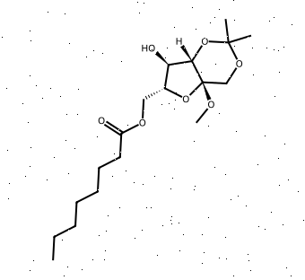 CCCCCCCC(=O)OC[C@H]1O[C@@]2(OC)COC(C)(C)O[C@H]2[C@@H]1O